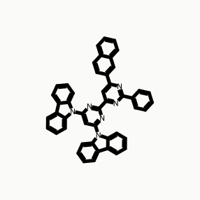 c1ccc(-c2nc(-c3ccc4ccccc4c3)cc(-c3nc(-n4c5ccccc5c5ccccc54)cc(-n4c5ccccc5c5ccccc54)n3)n2)cc1